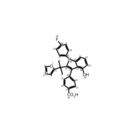 CC(C)(c1cnco1)c1c(-c2ccc(C(=O)O)cc2)c2c(O)cccc2n1-c1ccc(F)cc1